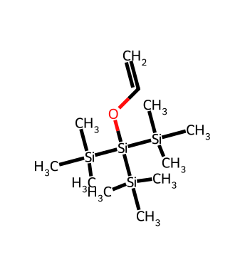 C=CO[Si]([Si](C)(C)C)([Si](C)(C)C)[Si](C)(C)C